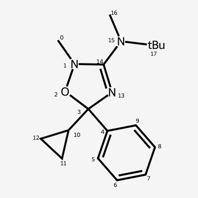 CN1OC(c2ccccc2)(C2CC2)N=C1N(C)C(C)(C)C